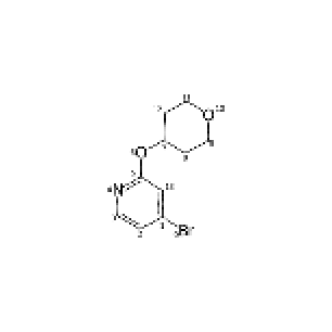 Brc1ccnc(OC2CCOCC2)c1